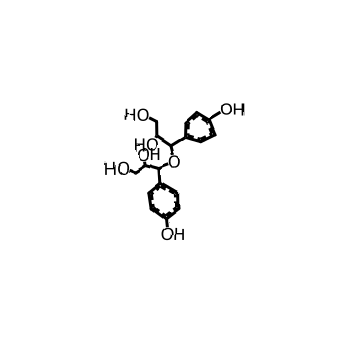 OCC(O)C(OC(c1ccc(O)cc1)C(O)CO)c1ccc(O)cc1